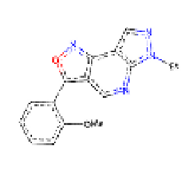 CCn1ncc2c3noc(-c4ccccc4OC)c3cnc21